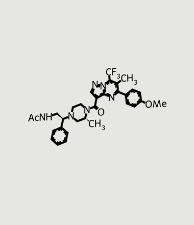 COc1ccc(-c2nc3c(C(=O)N4CCN([C@H](CNC(C)=O)c5ccccc5)C[C@H]4C)cnn3c(C(F)(F)F)c2C)cc1